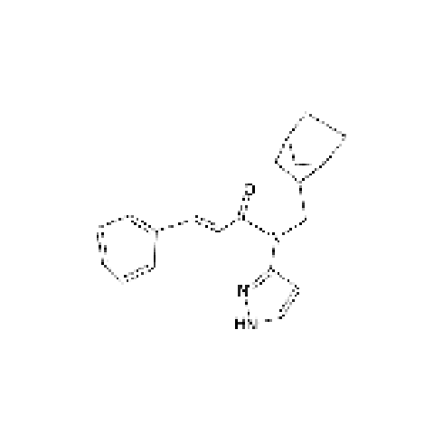 O=C(C=Cc1ccccc1)N(CC1CC2CCC1C2)c1cc[nH]n1